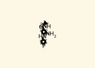 CC1(N[S+]([O-])c2ccc(NCc3ccc(F)cc3)c(N)c2)CC1